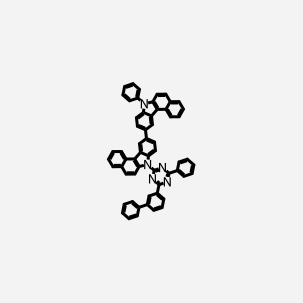 c1ccc(-c2cccc(-c3nc(-c4ccccc4)nc(-n4c5ccc(-c6ccc7c(c6)c6c8ccccc8ccc6n7-c6ccccc6)cc5c5c6ccccc6ccc54)n3)c2)cc1